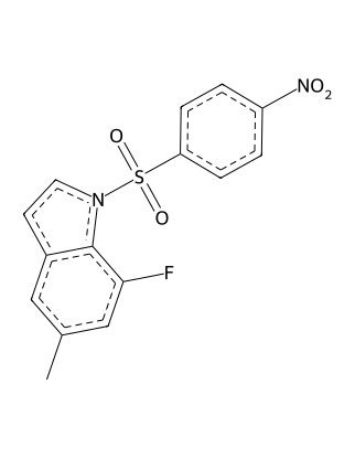 Cc1cc(F)c2c(ccn2S(=O)(=O)c2ccc([N+](=O)[O-])cc2)c1